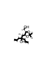 C=CCC(O)(CC=C)[C@H](C)[C@H]1OC(C)(C)O[C@H]1CO